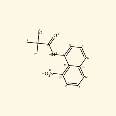 CCC(C)(C)C(=O)Nc1cccc2cccc(S(=O)(=O)O)c12